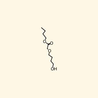 CCCCOC(=O)COCCCCO